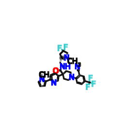 CN1CC(F)(F)C[C@H]1CNC(=O)C1(c2ccc(-c3cccn3C)nc2)CCN(c2ccc(C(F)(F)F)cc2C#N)CC1